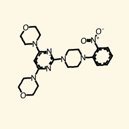 O=[N+]([O-])c1ccccc1N1CCN(c2nc(N3CCOCC3)cc(N3CCOCC3)n2)CC1